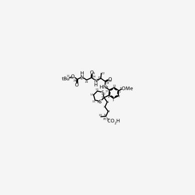 COc1ccc(C2(CCC[C@@H](C)C(=O)O)SCCCS2)c(NC(=O)C(C)NC(=O)CNC(=O)OC(C)(C)C)c1